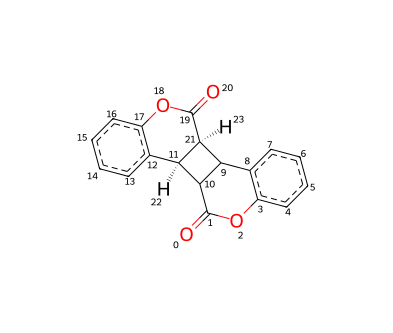 O=C1Oc2ccccc2C2C1[C@H]1c3ccccc3OC(=O)[C@@H]21